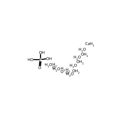 O.O.O.O.O.O.O.O.O.O.O.O.O=P(O)(O)O.[CaH2]